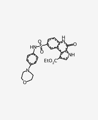 CCOC(=O)c1c[nH]c2c(=O)[nH]c3ccc(S(=O)(=O)Nc4ccc(N5CCOCC5)cc4)cc3c12